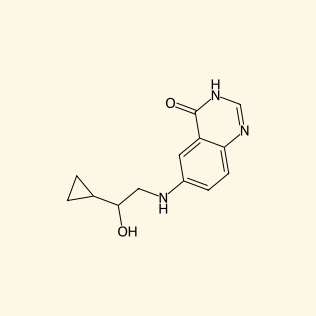 O=c1[nH]cnc2ccc(NCC(O)C3CC3)cc12